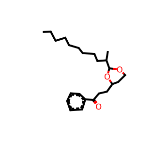 CCCCCCCCCC(C)C1OCCC(CCC(=O)c2ccccc2)O1